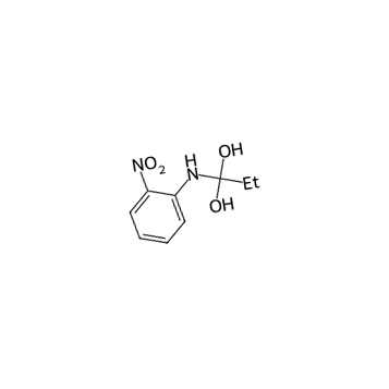 CCC(O)(O)Nc1ccccc1[N+](=O)[O-]